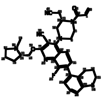 C=CC(=O)N1CCN(c2c(C#N)c(OC[C@@H]3CCCN3C)nc3c(F)c(-c4cccc5c4CCCS5)ccc23)C[C@@H]1CC#N